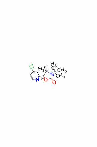 C[C@@H]1[C@@H](c2cc(Cl)ccn2)OC(=O)N1C(C)(C)C